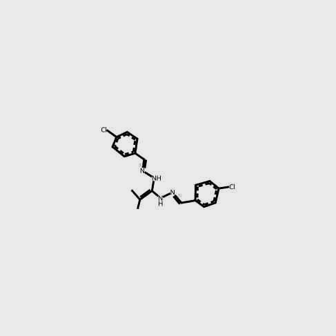 CC(C)=C(N/N=C/c1ccc(Cl)cc1)N/N=C/c1ccc(Cl)cc1